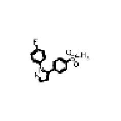 CS(=O)(=O)c1ccc(C2CC=NN2c2ccc(F)cc2)cc1